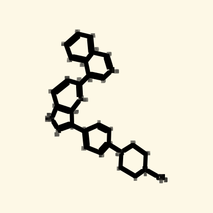 CN1CCN(c2ccc(-c3n[nH]c4ccc(-c5cncc6ccccc56)nc34)cc2)CC1